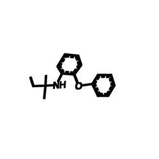 CCC(C)(C)Nc1ccccc1Oc1ccccc1